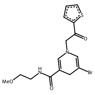 COCCNC(=O)C1=CN(CC(=O)c2cccs2)C=C(Br)C1